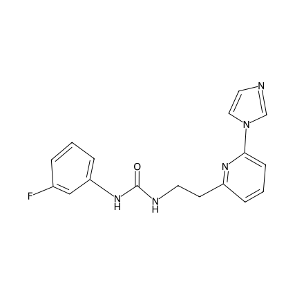 O=C(NCCc1cccc(-n2ccnc2)n1)Nc1cccc(F)c1